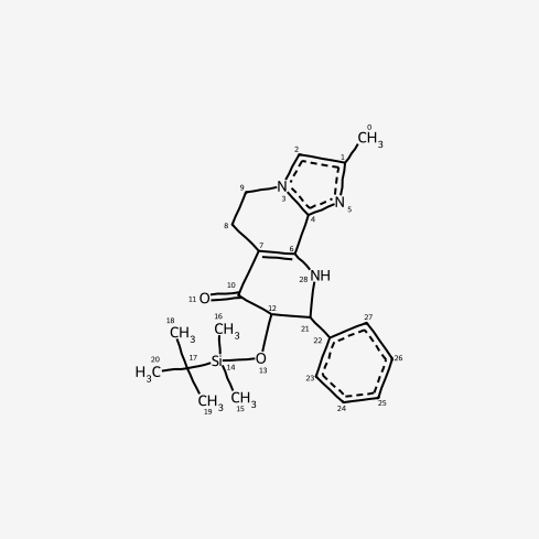 Cc1cn2c(n1)C1=C(CC2)C(=O)C(O[Si](C)(C)C(C)(C)C)C(c2ccccc2)N1